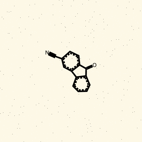 N#Cc1ccc2c(c1)-c1ccccc1C2=O